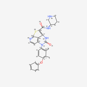 Cc1c(Oc2ccccc2)ccc(N2C(=O)Nc3c(C(=O)N[C@@H]4CCCNC4)sc4nccc2c34)c1C